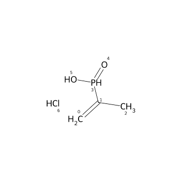 C=C(C)[PH](=O)O.Cl